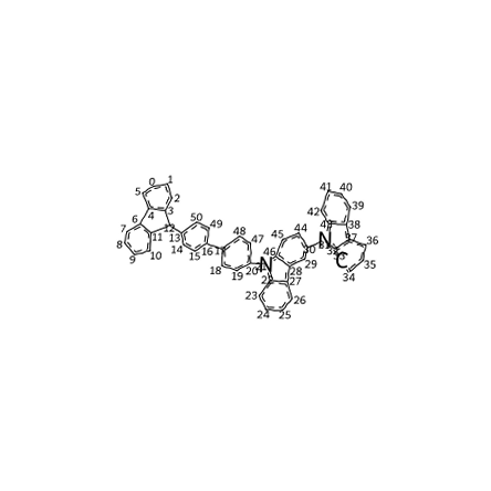 c1ccc2c(c1)-c1ccccc1C2c1ccc(-c2ccc(-n3c4ccccc4c4cc(-n5c6ccccc6c6ccccc65)ccc43)cc2)cc1